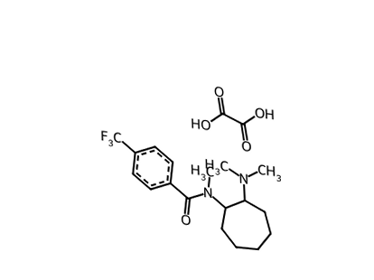 CN(C)C1CCCCCC1N(C)C(=O)c1ccc(C(F)(F)F)cc1.O=C(O)C(=O)O